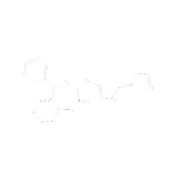 Cc1cc(-c2nnc(N[C@H]3N=C(c4ccccc4)c4ccccc4NC3=O)o2)on1